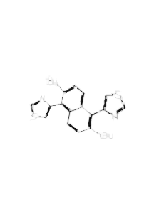 CC(C)(C)c1ccc2c(-c3cscn3)c(C(C)(C)C)ccc2c1-c1cscn1